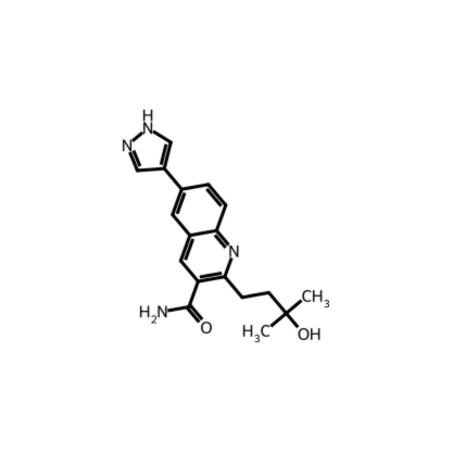 CC(C)(O)CCc1nc2ccc(-c3cn[nH]c3)cc2cc1C(N)=O